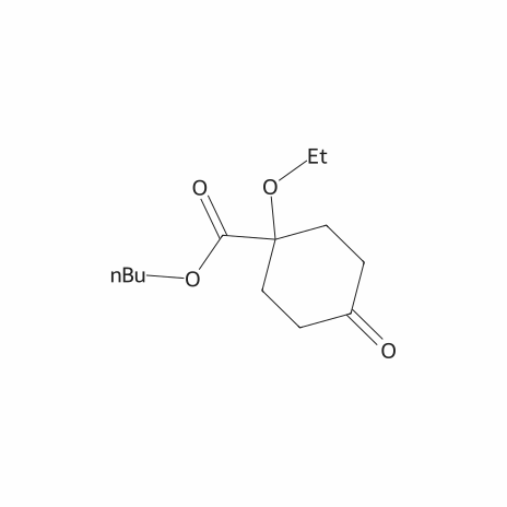 CCCCOC(=O)C1(OCC)CCC(=O)CC1